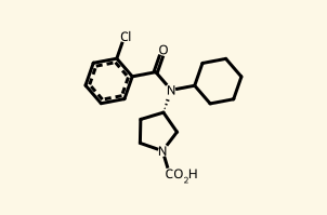 O=C(O)N1CC[C@H](N(C(=O)c2ccccc2Cl)C2CCCCC2)C1